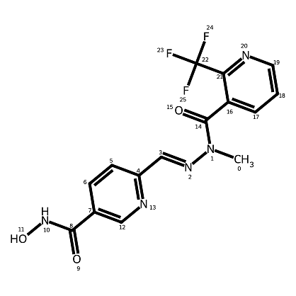 CN(/N=C/c1ccc(C(=O)NO)cn1)C(=O)c1cccnc1C(F)(F)F